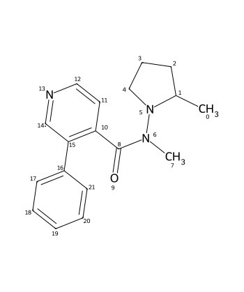 CC1CCCN1N(C)C(=O)c1ccn[c]c1-c1ccccc1